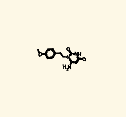 COc1ccc(CCn2c(N)cc(=O)[nH]c2=O)cc1